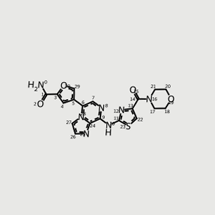 NC(=O)c1cc(-c2cnc(Nc3nc(C(=O)N4CCOCC4)cs3)c3nccn23)co1